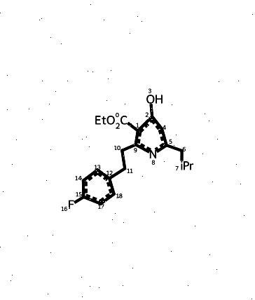 CCOC(=O)c1c(O)cc(CC(C)C)nc1CCc1ccc(F)cc1